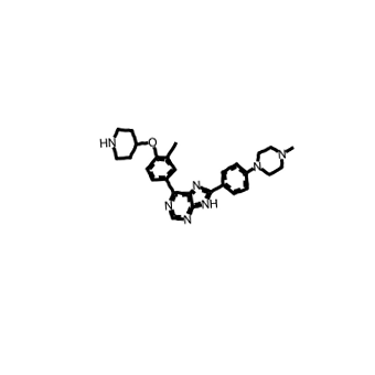 Cc1cc(-c2ncnc3[nH]c(-c4ccc(N5CCN(C)CC5)cc4)nc23)ccc1OC1CCNCC1